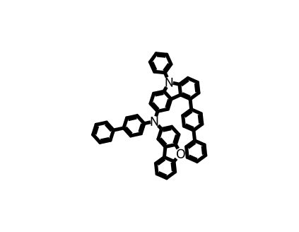 c1ccc(-c2ccc(-c3cccc4c3c3cc(N(c5ccc(-c6ccccc6)cc5)c5ccc6oc7ccccc7c6c5)ccc3n4-c3ccccc3)cc2)cc1